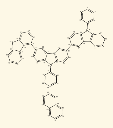 C1=Cc2c(n(-c3ccccc3)c3ccc(-c4ccc5c(c4)c4cc(-c6cccc7sc8ccccc8c67)ccc4n5-c4ccc(-c5ccc6ccccc6c5)cc4)cc23)CC1